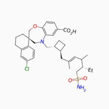 CC[C@H](CS(N)(=O)=O)C(C)/C=C(\C)C[C@@H]1CC[C@H]1CN1C[C@@]2(CCCc3cc(Cl)ccc32)COc2ccc(C(=O)O)cc21